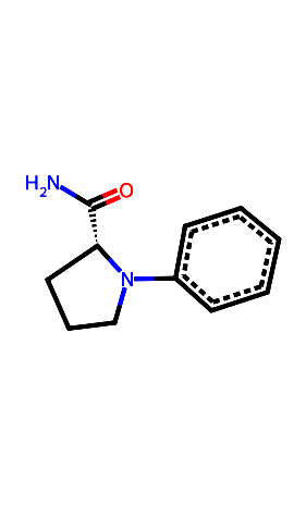 NC(=O)[C@H]1CCCN1c1ccccc1